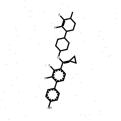 CCCc1ccc(-c2ccc(C(OC3CCC(C4CCC(C)C(F)=C4F)CC3)=C3CC3)c(F)c2F)cc1